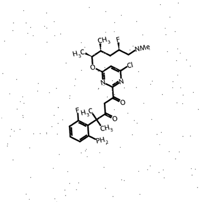 CNC[C@H](F)C[C@H](C)[C@H](C)Oc1cc(Cl)nc(C(=O)CC(=O)C(C)(C)c2c(F)cccc2P)n1